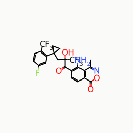 Cc1noc(=O)c2ccc(C(=O)C(O)(CC3(c4cc(F)ccc4C(F)(F)F)CC3)C(F)(F)F)c(N)c12